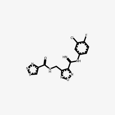 N=C(Nc1ccc(F)c(Cl)c1)c1nonc1CNC(=O)c1csnn1